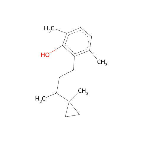 Cc1ccc(C)c(CCC(C)C2(C)CC2)c1O